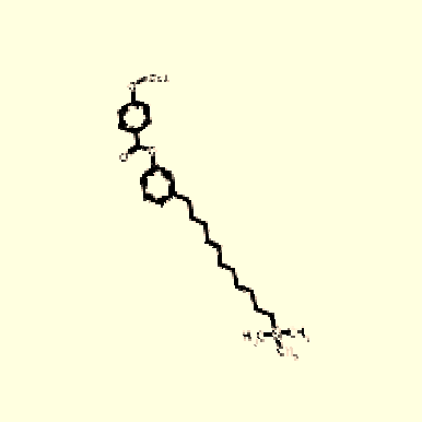 CCCCCCCCOc1ccc(C(=O)Oc2cc[c]c(CCCCCCCCCCC[Si](C)(C)C)c2)cc1